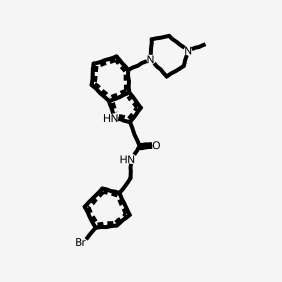 CN1CCN(c2cccc3[nH]c(C(=O)NCc4ccc(Br)cc4)cc23)CC1